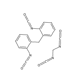 O=C=NCN=C=O.O=C=Nc1ccccc1Cc1ccccc1N=C=O